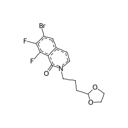 O=c1c2c(F)c(F)c(Br)cc2ccn1CCCC1OCCO1